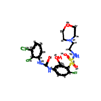 O=C(Nc1ccc(Cl)c(S(=O)(=O)NCCN2CCOCC2)c1O)Nc1cccc(Cl)c1Cl